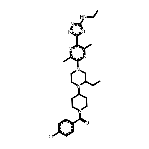 CCNc1nnc(-c2nc(C)c(N3CCN(C4CCN(C(=O)c5ccc(Cl)cc5)CC4)C(CC)C3)nc2C)o1